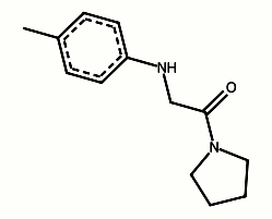 Cc1ccc(NCC(=O)N2CCCC2)cc1